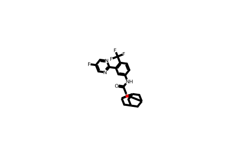 O=C(Nc1ccc(C(F)(F)F)c(-c2ncc(F)cn2)c1)N1C2CC3CC(C2)CC1C3